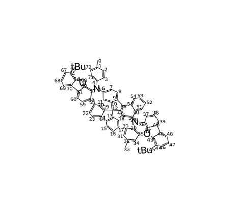 Cc1ccc(N(c2ccc3c(c2)C(c2ccccc2)(c2ccccc2)c2cc(N(c4ccc(C)cc4)c4cccc5c4oc4c(C(C)(C)C)cccc45)c4ccccc4c2-3)c2cccc3c2oc2c(C(C)(C)C)cccc23)cc1